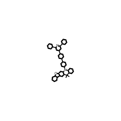 CC1(C)c2ccccc2N(c2ccc(-c3ccc(-c4cc(-c5ccccc5)nc(-c5ccccc5)c4)cc3)cc2)c2cc3oc4ccccc4c3cc21